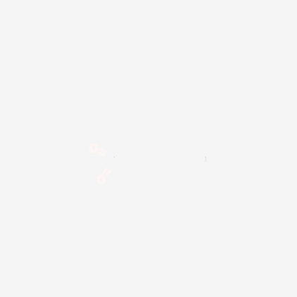 O=S1(=O)CCC(C(I)I)CC1